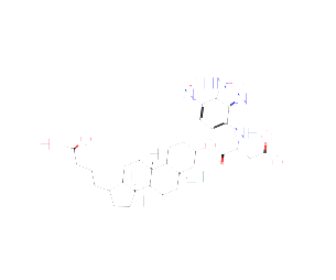 C[C@H](CCC(=O)O)C1CC[C@H]2[C@@H]3CC[C@@H]4[C@@H](F)[C@H](OC(=O)[C@H](CC(=O)O)NC5=CC=C([N+](=O)[O-])C6NON=C56)CC[C@]4(C)[C@H]3CC[C@]12C